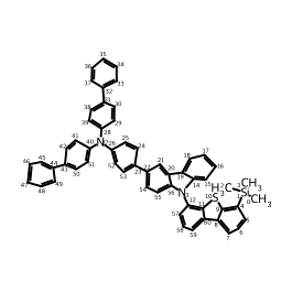 C[Si](C)(C)c1cccc2c1sc1c(-n3c4ccccc4c4cc(-c5ccc(N(c6ccc(-c7ccccc7)cc6)c6ccc(-c7ccccc7)cc6)cc5)ccc43)cccc12